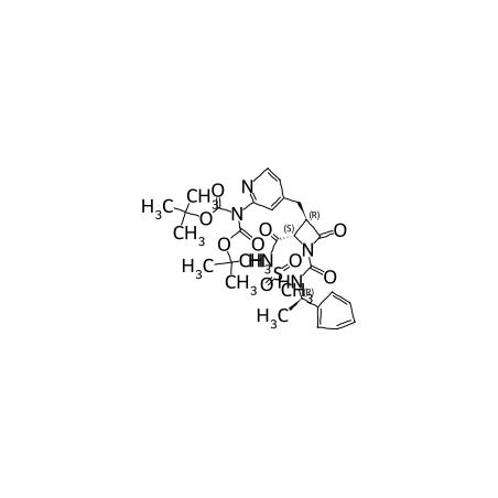 C[C@@H](NC(=O)N1C(=O)[C@H](Cc2ccnc(N(C(=O)OC(C)(C)C)C(=O)OC(C)(C)C)c2)[C@H]1C(=O)NS(C)(=O)=O)c1ccccc1